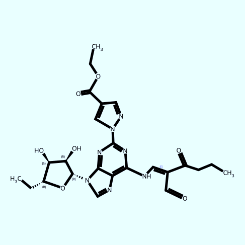 CCCC(=O)/C(C=O)=C/Nc1nc(-n2cc(C(=O)OCC)cn2)nc2c1ncn2[C@@H]1O[C@H](CC)[C@@H](O)[C@H]1O